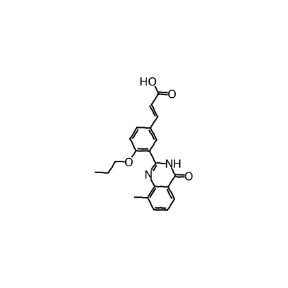 CCCOc1ccc(/C=C/C(=O)O)cc1-c1nc2c(C)cccc2c(=O)[nH]1